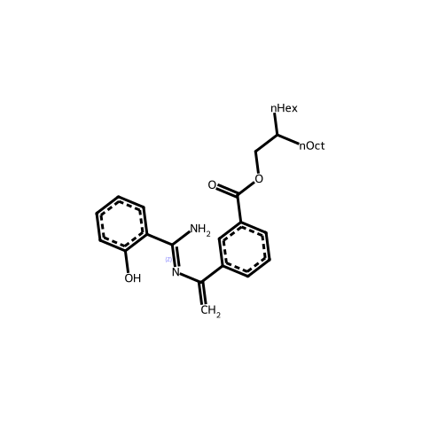 C=C(/N=C(\N)c1ccccc1O)c1cccc(C(=O)OCC(CCCCCC)CCCCCCCC)c1